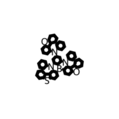 c1ccc(N(c2cc3c4c(c2)N(c2ccccc2)c2c(ccc5sc6ccccc6c25)B4c2ccc4oc5ccccc5c4c2N3c2ccccc2)c2cccc3oc4ccccc4c23)cc1